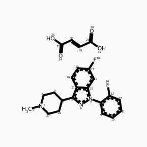 CN1CCC(c2nn(-c3ccccc3F)c3cc(F)ccc23)CC1.O=C(O)/C=C/C(=O)O